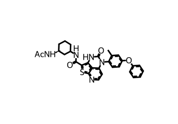 CC(=O)N[C@H]1CCCC(NC(=O)c2sc3nccc4c3c2NC(=O)N4c2ccc(Oc3ccccc3)cc2C)C1